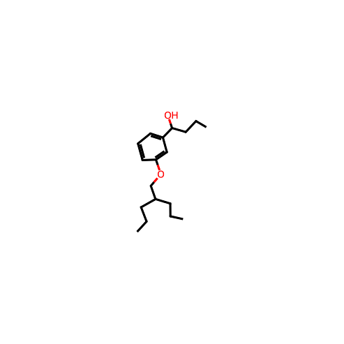 CCCC(CCC)COc1cccc(C(O)CCC)c1